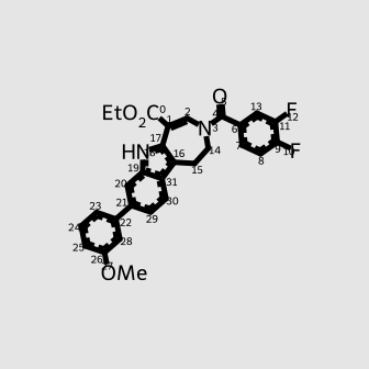 CCOC(=O)C1=CN(C(=O)c2ccc(F)c(F)c2)CCc2c1[nH]c1cc(-c3cccc(OC)c3)ccc21